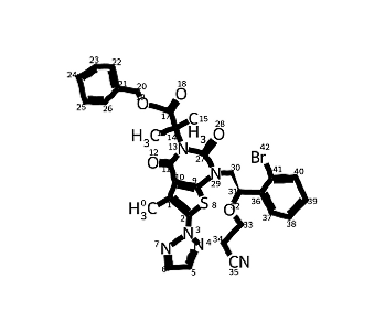 Cc1c(-n2nccn2)sc2c1c(=O)n(C(C)(C)C(=O)OCc1ccccc1)c(=O)n2C[C@H](OCCC#N)c1ccccc1Br